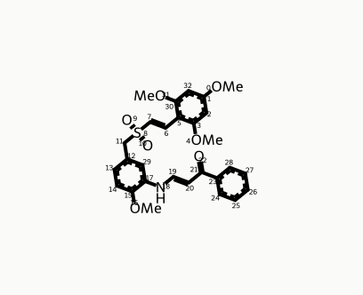 COc1cc(OC)c(C=CS(=O)(=O)Cc2ccc(OC)c(NC=CC(=O)c3ccccc3)c2)c(OC)c1